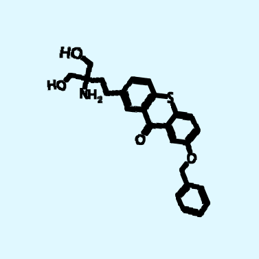 NC(CO)(CO)CCc1ccc2sc3ccc(OCc4ccccc4)cc3c(=O)c2c1